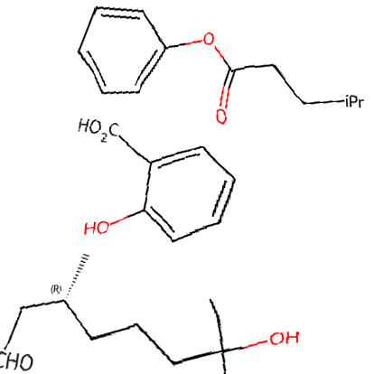 CC(C)CCC(=O)Oc1ccccc1.C[C@@H](CC=O)CCCC(C)(C)O.O=C(O)c1ccccc1O